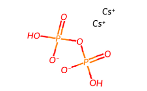 O=P([O-])(O)OP(=O)([O-])O.[Cs+].[Cs+]